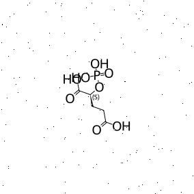 O=C(O)CC[C@H](OP(=O)(O)O)C(=O)O